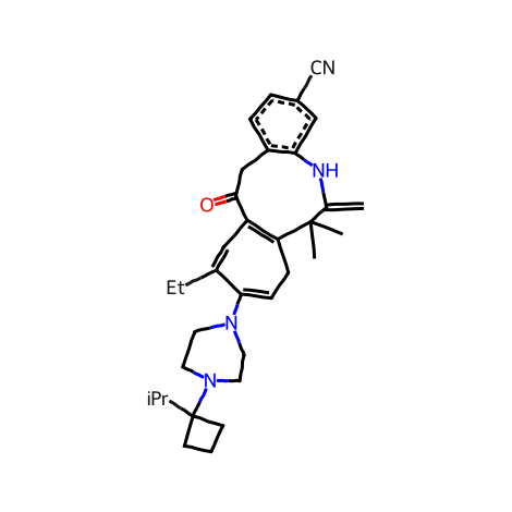 C=C1Nc2cc(C#N)ccc2CC(=O)C2=C(CC=C(N3CCN(C4(C(C)C)CCC4)CC3)C(CC)=C2)C1(C)C